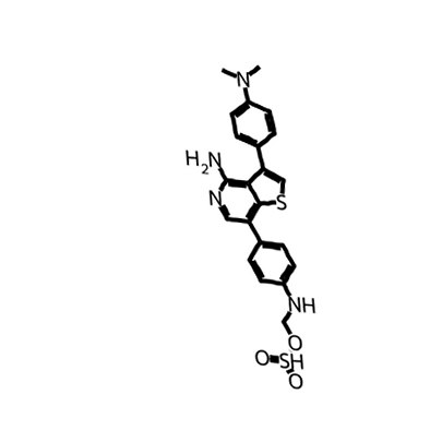 CN(C)c1ccc(-c2csc3c(-c4ccc(NCO[SH](=O)=O)cc4)cnc(N)c23)cc1